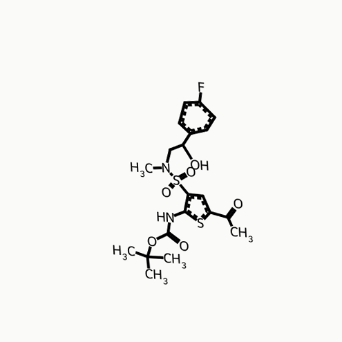 CC(=O)c1cc(S(=O)(=O)N(C)CC(O)c2ccc(F)cc2)c(NC(=O)OC(C)(C)C)s1